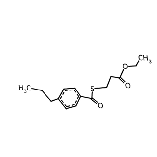 CCCc1ccc(C(=O)SCCC(=O)OCC)cc1